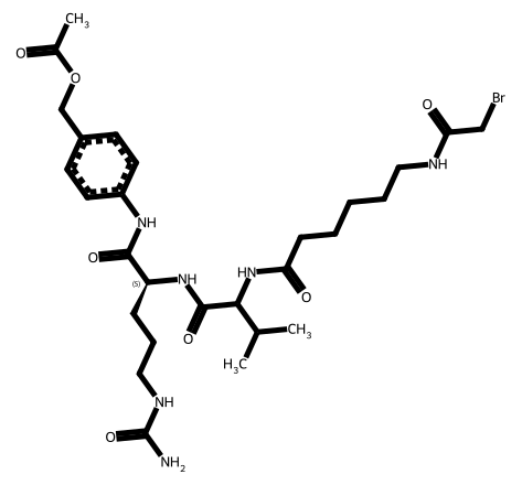 CC(=O)OCc1ccc(NC(=O)[C@H](CCCNC(N)=O)NC(=O)C(NC(=O)CCCCCNC(=O)CBr)C(C)C)cc1